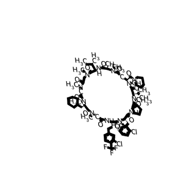 CC[C@H](C)[C@@H]1NC(=O)[C@H](C)N(C)C(=O)C[C@@H](C(=O)N2CCCCC2)N(C)C(=O)[C@H](C(C)C)N(C)C(=O)C2(CCCC2)NC(=O)[C@H](Cc2ccccc2Cl)N(CC)C(=O)[C@H](CCc2ccc(C(F)(F)F)c(Cl)c2)NC(=O)CN(C)C(=O)[C@H](CC2CCCCC2)N(C)C(=O)CN(C)C(=O)CN(C)C1=O